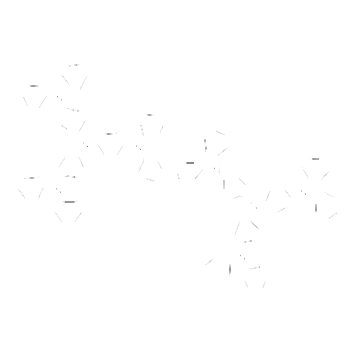 Cc1cccc(N(c2ccccc2)c2ccc(N(c3ccc(N(c4ccccc4)c4cccc(C)c4)cc3)c3ccc(N(c4ccccc4)c4cc(C)cc(-c5ccc6c(c5)c5ccccc5n6-c5ccc(N(c6ccc(-n7c8c(c9ccccc97)CCC=C8)cc6)c6ccc(-n7c8ccccc8c8ccccc87)cc6)cc5)c4)cc3)cc2)c1